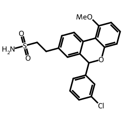 COc1cccc2c1-c1ccc(CCS(N)(=O)=O)cc1C(c1cccc(Cl)c1)O2